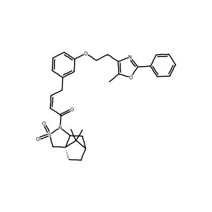 Cc1oc(-c2ccccc2)nc1CCOc1cccc(C/C=C\C(=O)N2C3CC4CC[C@@]3(CS2(=O)=O)C4(C)C)c1